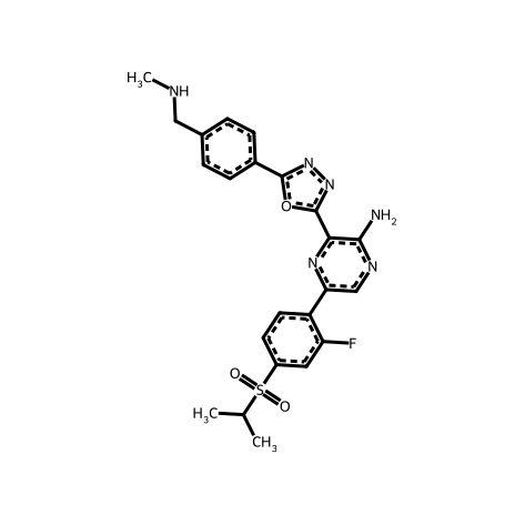 CNCc1ccc(-c2nnc(-c3nc(-c4ccc(S(=O)(=O)C(C)C)cc4F)cnc3N)o2)cc1